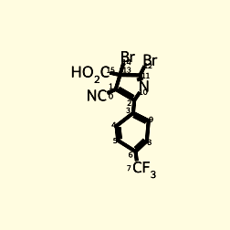 N#CC1=C(c2ccc(C(F)(F)F)cc2)N=C(Br)C1(Br)C(=O)O